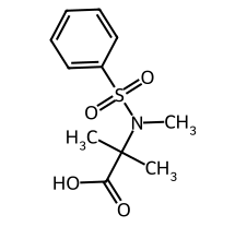 CN(C(C)(C)C(=O)O)S(=O)(=O)c1ccccc1